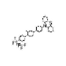 Cc1cc(-c2ccc(N3c4ccccc4Sc4ccccc43)cc2)ccc1-c1ccc(C(F)(F)F)c(C(F)(F)F)c1